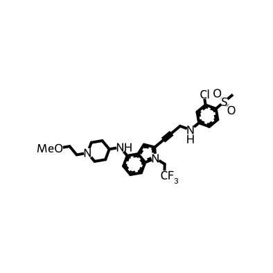 COCCN1CCC(Nc2cccc3c2cc(C#CCNc2ccc(S(C)(=O)=O)c(Cl)c2)n3CC(F)(F)F)CC1